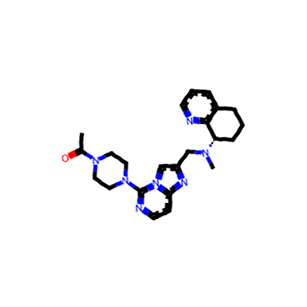 CC(=O)N1CCN(c2nccc3nc(CN(C)[C@H]4CCCc5cccnc54)cn23)CC1